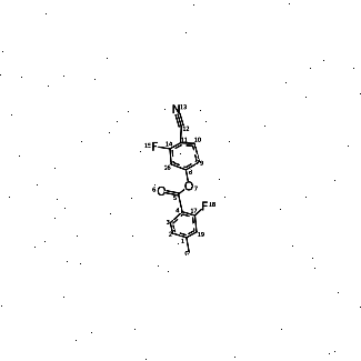 Cc1ccc(C(=O)Oc2ccc(C#N)c(F)c2)c(F)c1